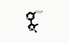 Cc1c(-c2cc(C(=O)O)ccn2)cnn1C